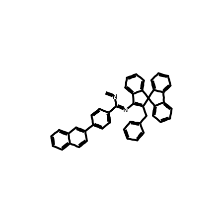 C=N/C(=N\C1=C(Cc2ccccc2)C2(c3ccccc31)c1ccccc1-c1ccccc12)c1ccc(-c2ccc3ccccc3c2)cc1